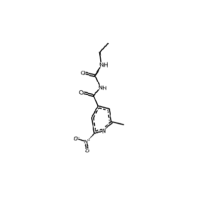 CCNC(=O)NC(=O)c1cc(C)nc([N+](=O)[O-])c1